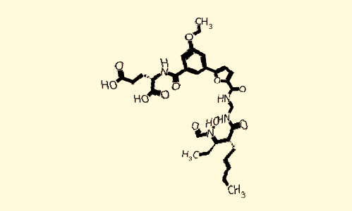 CCCCC[C@@H](C(=O)NCNC(=O)c1ccc(-c2cc(OCC)cc(C(=O)N[C@@H](CCC(=O)O)C(=O)O)c2)o1)[C@@H](CC)N(O)C=O